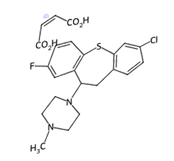 CN1CCN(C2Cc3ccc(Cl)cc3Sc3ccc(F)cc32)CC1.O=C(O)/C=C\C(=O)O